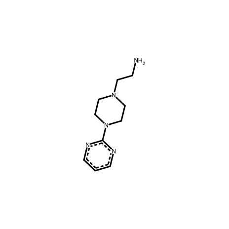 NCCN1CCN(c2ncccn2)CC1